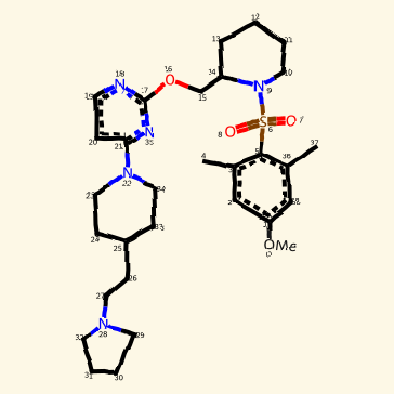 COc1cc(C)c(S(=O)(=O)N2CCCCC2COc2nccc(N3CCC(CCN4CCCC4)CC3)n2)c(C)c1